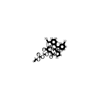 CCOC(=O)OCOc1c2n(ncc1=O)[C@@H](C(c1cccc(C)c1)c1cccc(CC)c1)[C@H]1CCCN1C2=O